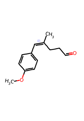 COc1ccc(/C=C(/C)CCC=O)cc1